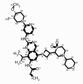 C=CC(=O)Nc1cc(N2CC(C3CN(C4CCOCC4)CCS3(=O)=O)C2)c2cnc(Nc3ccnc(N4CC[C@@H](OC)[C@@H](F)C4)c3)nc2c1C(C)C